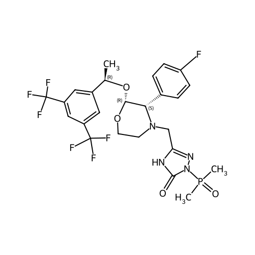 C[C@@H](O[C@H]1OCCN(Cc2nn(P(C)(C)=O)c(=O)[nH]2)[C@H]1c1ccc(F)cc1)c1cc(C(F)(F)F)cc(C(F)(F)F)c1